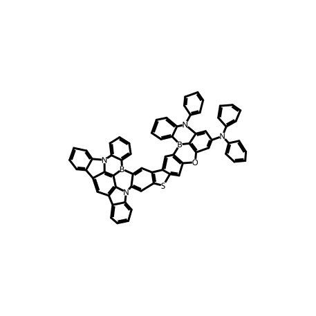 c1ccc(N(c2ccccc2)c2cc3c4c(c2)N(c2ccccc2)c2ccccc2B4c2cc4c(cc2O3)sc2cc3c(cc24)B2c4ccccc4-n4c5ccccc5c5cc6c7ccccc7n-3c6c2c54)cc1